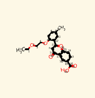 CCOCCOc1ccc(C)cc1-c1cc(=O)c2cc(C(=O)O)ccc2o1